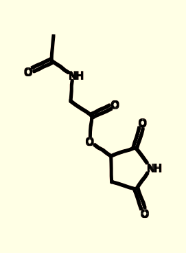 CC(=O)NCC(=O)OC1CC(=O)NC1=O